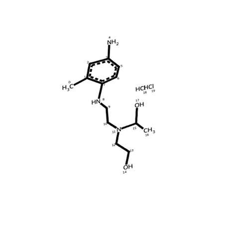 Cc1cc(N)ccc1NCCN(CCO)C(C)O.Cl.Cl